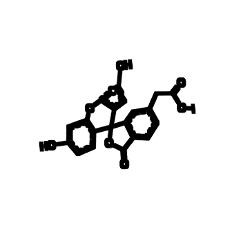 O=C(Cc1ccc2c(c1)C1(OC2=O)c2ccc(O)cc2Oc2cc(O)ccc21)OI